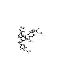 CN(c1nc(Nc2ccc(C(=O)O)cc2)c2ncn(C3CCCC3)c2n1)C1CCC(NC(=O)OC(C)(C)C)CC1